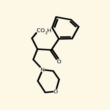 O=C(O)CC(CN1CCOCC1)C(=O)c1ccccc1